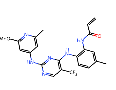 C=CC(=O)Nc1cc(C)ccc1Nc1nc(Nc2cc(C)nc(OC)c2)ncc1C(F)(F)F